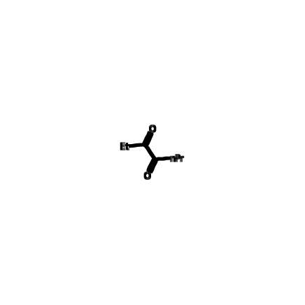 CCCC(=O)C(=O)CC